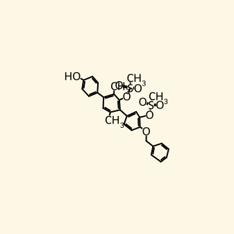 Cc1cc(-c2ccc(O)cc2)c(C)c(OS(C)(=O)=O)c1-c1ccc(OCc2ccccc2)c(OS(C)(=O)=O)c1